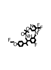 CC(c1ccc(OCCF)cc1)C(CNC(=O)C(C)(C)Oc1ccc(C(F)(F)F)cn1)c1cc(F)cc(C#N)c1